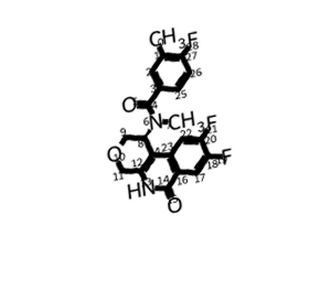 Cc1cc(C(=O)N(C)[C@@H]2COCc3[nH]c(=O)c4cc(F)c(F)cc4c32)ccc1F